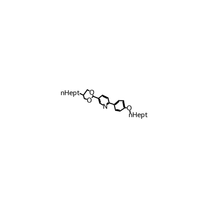 CCCCCCCOc1ccc(-c2ccc(C3OCC(CCCCCCC)CO3)cn2)cc1